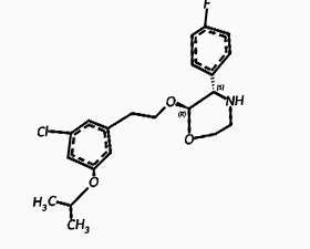 CC(C)Oc1cc(Cl)cc(CCO[C@@H]2OCCN[C@H]2c2ccc(F)cc2)c1